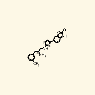 N[C@H](CNc1ncc(-c2ccc3[nH]c(=O)oc3c2)s1)Cc1cccc(C(F)(F)F)c1